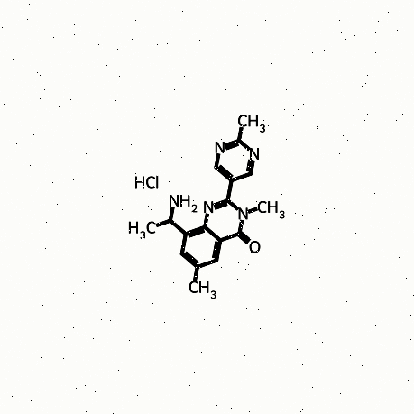 Cc1cc(C(C)N)c2nc(-c3cnc(C)nc3)n(C)c(=O)c2c1.Cl